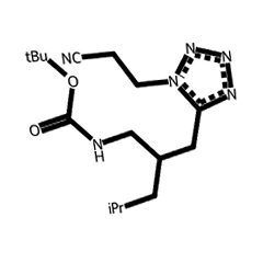 CC(C)CC(CNC(=O)OC(C)(C)C)Cc1nnnn1CCC#N